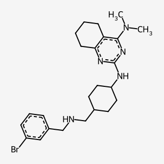 CN(C)c1nc(NC2CCC(CNCc3cccc(Br)c3)CC2)nc2c1CCCC2